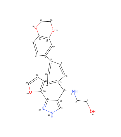 OCCNC(c1ccc(-c2ccc3c(c2)OCCO3)cc1)c1c[nH]nc1-c1ccco1